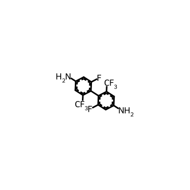 Nc1cc(F)c(-c2c(F)cc(N)cc2C(F)(F)F)c(C(F)(F)F)c1